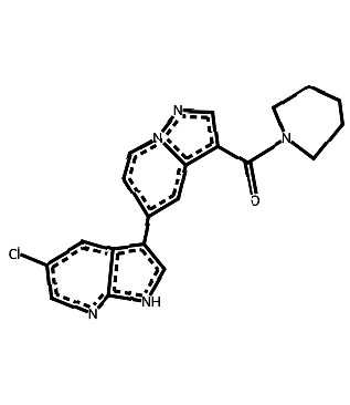 O=C(c1cnn2ccc(-c3c[nH]c4ncc(Cl)cc34)cc12)N1CCCCC1